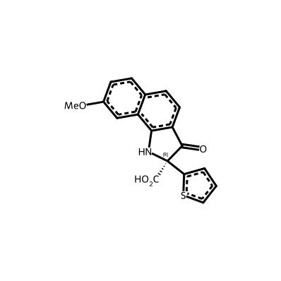 COc1ccc2ccc3c(c2c1)N[C@](C(=O)O)(c1cccs1)C3=O